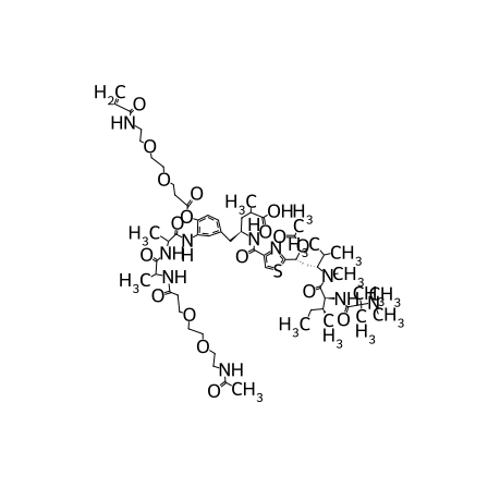 C=CC(=O)NCCOCCOCCC(=O)Oc1ccc(C[C@@H](CC(C)C(=O)O)NC(=O)c2csc([C@@H](C[C@H](C(C)C)N(C)C(=O)[C@@H](NC(=O)C(C)(C)N(C)C)[C@@H](C)CC)OC(C)=O)n2)cc1NC(=O)C(C)NC(=O)C(C)NC(=O)CCOCCOCCNC(C)=O